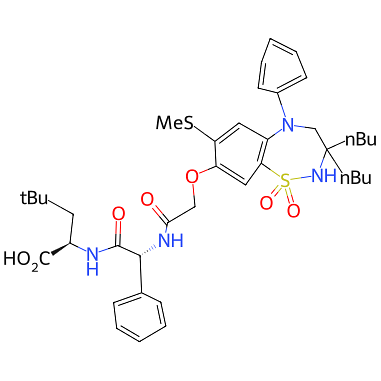 CCCCC1(CCCC)CN(c2ccccc2)c2cc(SC)c(OCC(=O)N[C@@H](C(=O)N[C@H](CC(C)(C)C)C(=O)O)c3ccccc3)cc2S(=O)(=O)N1